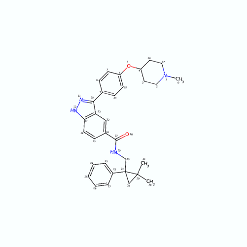 CN1CCC(Oc2ccc(-c3n[nH]c4ccc(C(=O)NCC5(c6ccccc6)CC5(C)C)cc34)cc2)CC1